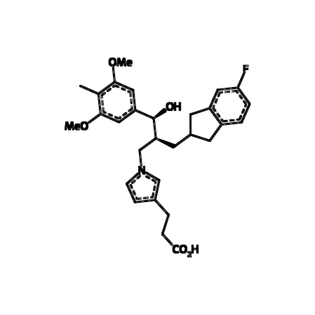 COc1cc([C@@H](O)[C@@H](CC2Cc3ccc(F)cc3C2)Cn2ccc(CCC(=O)O)c2)cc(OC)c1C